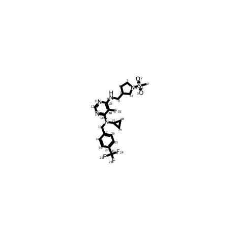 CS(=O)(=O)N1CCC(CNc2ncnc(N(Cc3ccc(C(F)(F)F)cc3)C3CC3)c2F)C1